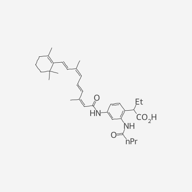 CCCC(=O)Nc1cc(NC(=O)C=C(C)C=CC=C(C)C=CC2=C(C)CCCC2(C)C)ccc1C(CC)C(=O)O